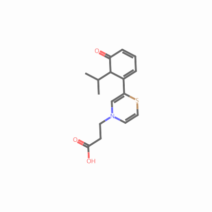 CC(C)C1C(=O)C=CC=C1C1=CN(CCC(=O)O)C=CS1